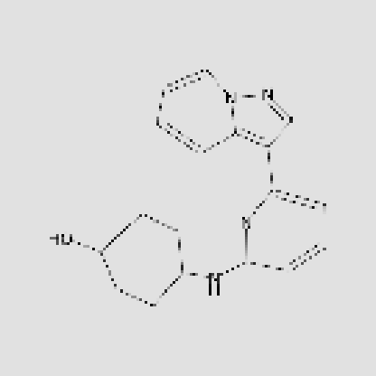 OC1CCC(Nc2cccc(-c3cnn4ccccc34)n2)CC1